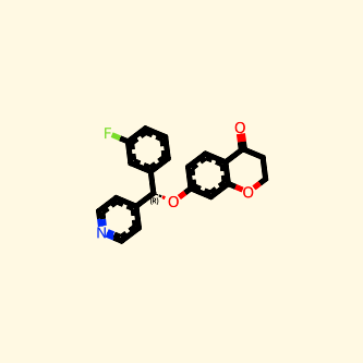 O=C1CCOc2cc(O[C@H](c3ccncc3)c3cccc(F)c3)ccc21